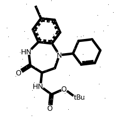 Cc1ccc2c(c1)NC(=O)C(NC(=O)OC(C)(C)C)CN2C1C=CCCC1